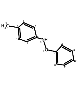 Cc1ccc(NOc2ccccc2)cc1